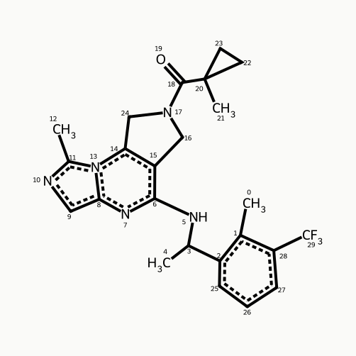 Cc1c(C(C)Nc2nc3cnc(C)n3c3c2CN(C(=O)C2(C)CC2)C3)cccc1C(F)(F)F